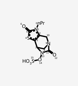 CCCn1c2c(sc1=O)C1CN(C2)C(=O)N1OS(=O)(=O)O